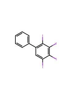 Ic1cc(-c2ccccc2)c(I)c(I)c1I